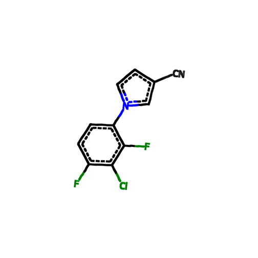 N#Cc1ccn(-c2ccc(F)c(Cl)c2F)c1